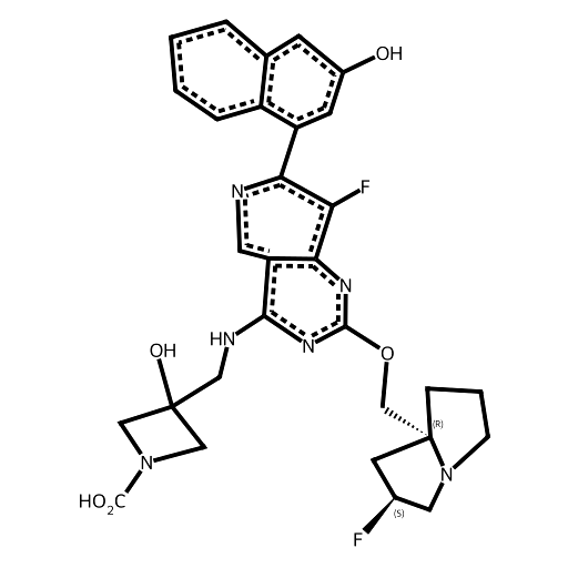 O=C(O)N1CC(O)(CNc2nc(OC[C@]34CCCN3C[C@@H](F)C4)nc3c(F)c(-c4cc(O)cc5ccccc45)ncc23)C1